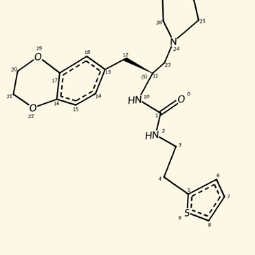 O=C(NCCc1cccs1)N[C@@H](Cc1ccc2c(c1)OCCO2)CN1CCCC1